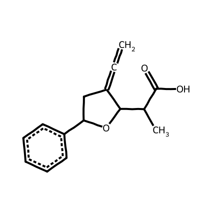 C=C=C1CC(c2ccccc2)OC1C(C)C(=O)O